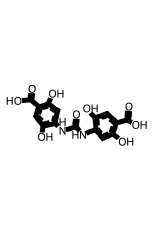 O=C(Nc1cc(O)c(C(=O)O)cc1O)Nc1cc(O)c(C(=O)O)cc1O